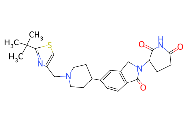 CC(C)(C)c1nc(CN2CCC(c3ccc4c(c3)CN(C3CCC(=O)NC3=O)C4=O)CC2)cs1